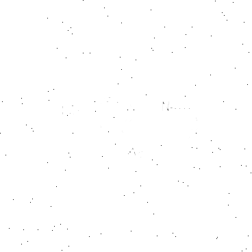 CC(=O)c1cc(C)ccc1-c1ccccn1